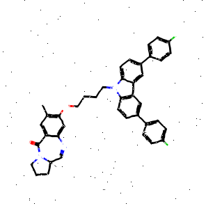 Cc1cc2c(cc1OCCCCn1c3ccc(-c4ccc(Cl)cc4)cc3c3cc(-c4ccc(Cl)cc4)ccc31)N=C[C@@H]1CCCN1C2=O